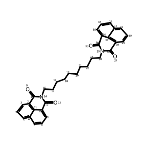 O=C1c2cccc3cccc(c23)C(=O)N1CCCCCCCCCCN1C(=O)c2cccc3cccc(c23)C1=O